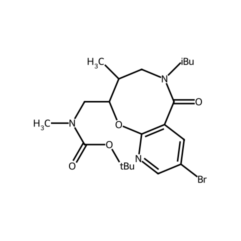 CCC(C)N1CC(C)C(CN(C)C(=O)OC(C)(C)C)Oc2ncc(Br)cc2C1=O